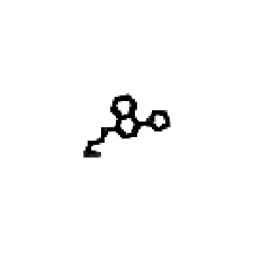 CSCCOc1ccc([S+]2CCCC2)c2ccccc12